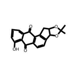 CC1(C)OC2Cc3c(ccc4c3C(=O)c3cccc(O)c3C4=O)C2O1